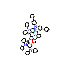 FC(F)(F)c1cccc(-c2ccccc2)c1N1c2cc3c(cc2B2c4ccccc4N(c4ccccc4)c4cc(N(c5ccc(-c6ccccc6)cc5)c5ccc(-c6ccccc6)cc5)cc1c42)B1c2ccccc2N(c2ccccc2)c2cc(N(c4ccccc4)c4ccccc4)cc(c21)S3